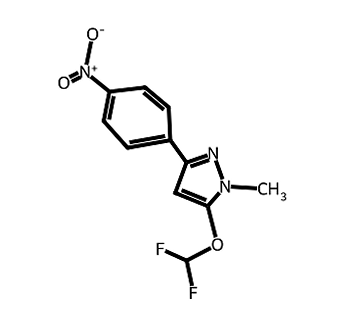 Cn1nc(-c2ccc([N+](=O)[O-])cc2)cc1OC(F)F